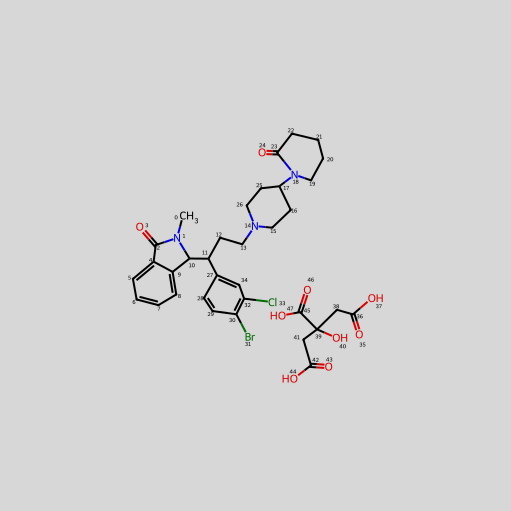 CN1C(=O)c2ccccc2C1C(CCN1CCC(N2CCCCC2=O)CC1)c1ccc(Br)c(Cl)c1.O=C(O)CC(O)(CC(=O)O)C(=O)O